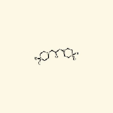 O=C(CN1CCS(=O)(=O)CC1)CN1CCS(=O)(=O)CC1